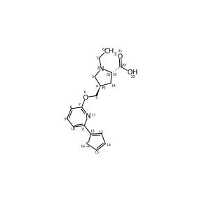 CCN1C[C@H](COc2cccc(-c3cccs3)n2)C[C@H]1C(=O)O